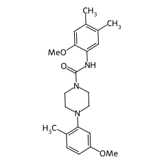 COc1ccc(C)c(N2CCN(C(=O)Nc3cc(C)c(C)cc3OC)CC2)c1